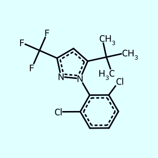 CC(C)(C)c1cc(C(F)(F)F)nn1-c1c(Cl)cccc1Cl